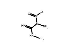 N=C(NN)N(N)[N+](=O)[O-]